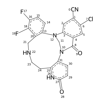 N#Cc1cc2c(cc1Cl)C(=O)N1CN2c2ccc(F)c(F)c2CNCCc2[nH]c(=O)ccc21